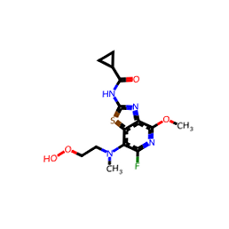 COc1nc(F)c(N(C)CCOO)c2sc(NC(=O)C3CC3)nc12